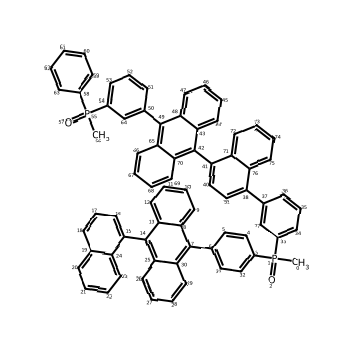 CP(=O)(c1ccc(-c2c3ccccc3c(-c3cccc4ccccc34)c3ccccc23)cc1)c1cccc(-c2ccc(-c3c4ccccc4c(-c4cccc(P(C)(=O)c5ccccc5)c4)c4ccccc34)c3ccccc23)c1